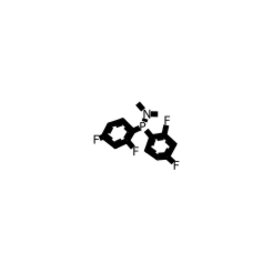 CN(C)P(c1ccc(F)cc1F)c1ccc(F)cc1F